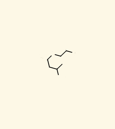 CC[C@@H](CC(C)C(=O)O)OCCO